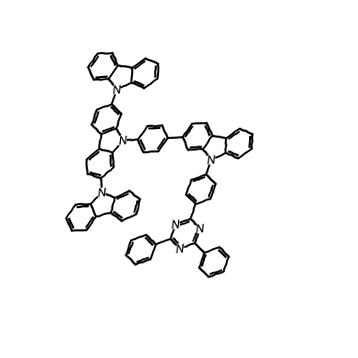 c1ccc(-c2nc(-c3ccccc3)nc(-c3ccc(-n4c5ccccc5c5ccc(-c6ccc(-n7c8cc(-n9c%10ccccc%10c%10ccccc%109)ccc8c8ccc(-n9c%10ccccc%10c%10ccccc%109)cc87)cc6)cc54)cc3)n2)cc1